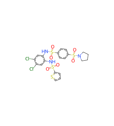 O=S(=O)(Nc1cc(Cl)c(Cl)cc1NS(=O)(=O)c1cccs1)c1ccc(S(=O)(=O)N2CCCC2)cc1